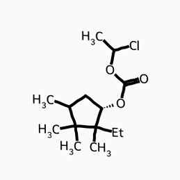 CCC1(C)[C@@H](OC(=O)OC(C)Cl)CC(C)C1(C)C